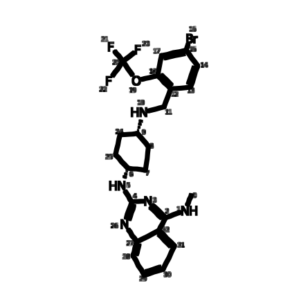 CNc1nc(N[C@H]2CC[C@@H](NCc3ccc(Br)cc3OC(F)(F)F)CC2)nc2ccccc12